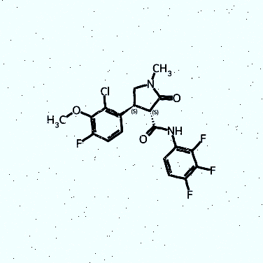 COc1c(F)ccc([C@H]2CN(C)C(=O)[C@@H]2C(=O)Nc2ccc(F)c(F)c2F)c1Cl